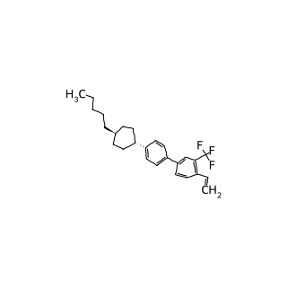 C=Cc1ccc(-c2ccc([C@H]3CC[C@H](CCCCC)CC3)cc2)cc1C(F)(F)F